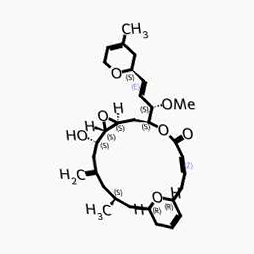 C=C1C[C@H](C)C[C@@H]2CC=C[C@@H](C/C=C\C(=O)O[C@H]([C@H](/C=C/[C@@H]3CC(C)=CCO3)OC)C[C@@H]3O[C@H]3[C@@H](O)C1)O2